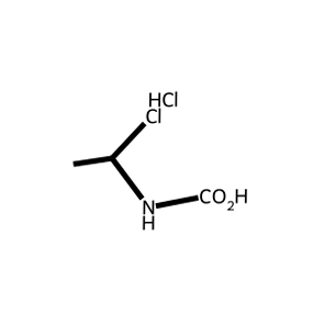 CC(Cl)NC(=O)O.Cl